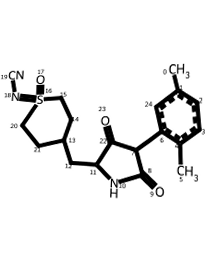 Cc1ccc(C)c(C2C(=O)NC(CC3CCS(=O)(=NC#N)CC3)C2=O)c1